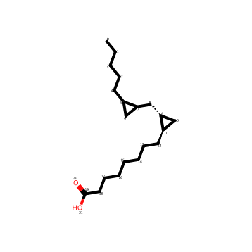 CCCCCC1CC1C[C@@H]1C[C@H]1CCCCCCCC(=O)O